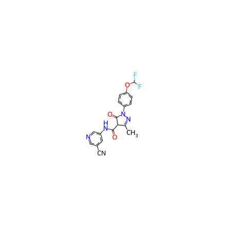 CC1=NN(c2ccc(OC(F)F)cc2)C(=O)C1C(=O)Nc1cncc(C#N)c1